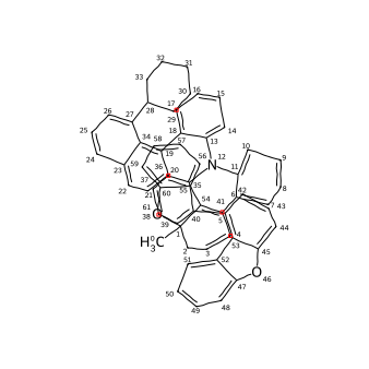 CC12CC=CC(c3ccccc3N(c3ccccc3-c3cccc4cccc(C5CCCCC5)c34)c3ccccc3-c3cccc4oc5ccccc5c34)=C1c1ccccc1O2